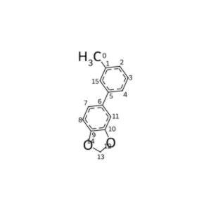 Cc1cccc(-c2ccc3c(c2)OCO3)c1